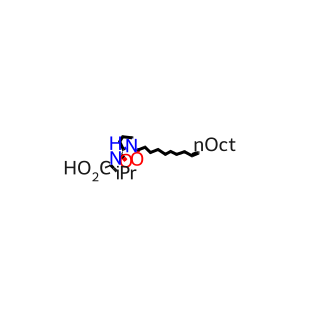 CCCCCCCC/C=C\CCCCCCCC(=O)N1CCC[C@H]1C(=O)N[C@H](C(=O)O)C(C)C